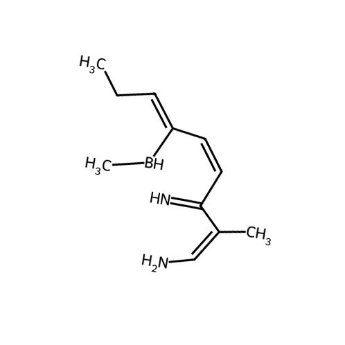 CBC(/C=C\C(=N)/C(C)=C\N)=C\CC